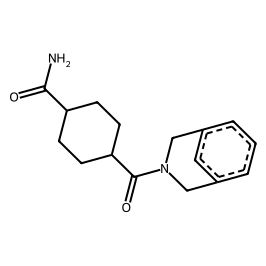 NC(=O)C1CCC(C(=O)N2Cc3cccc(c3)C2)CC1